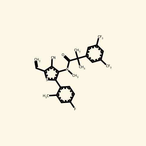 C=Cc1sc(-c2ccc(F)cc2C)c(N(C)C(=O)C(C)(C)c2cc(C(F)(F)F)cc(C(F)(F)F)c2)c1C#N